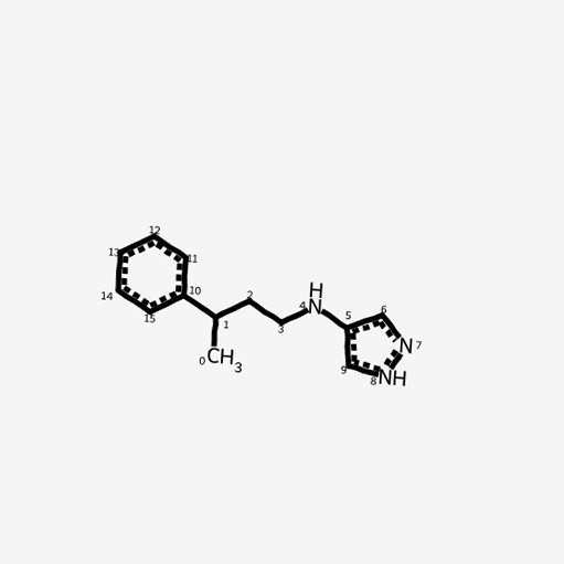 CC(CCNc1cn[nH]c1)c1ccccc1